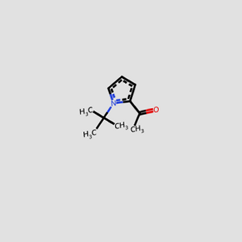 CC(=O)c1cccn1C(C)(C)C